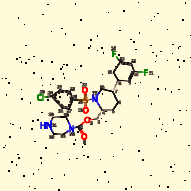 O=C(OC[C@H]1CC[C@@H](C2C=C(F)C=C(F)C2)CN1S(=O)(=O)c1ccc(Cl)cc1)N1CCNCC1